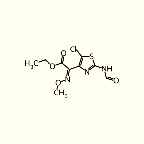 CCOC(=O)C(=NOC)c1nc(NC=O)sc1Cl